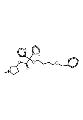 CN1CCC(OC(=O)C(OCCCCOCc2ccccc2)(c2cccs2)c2cccs2)C1